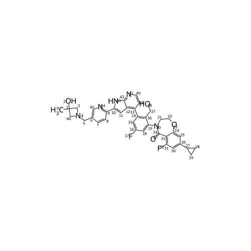 CC1(O)CN(Cc2ccc(-c3cc4c(-c5cc(F)cc(N6CCOc7cc(C8CC8)cc(F)c7C6=O)c5CO)ccnc4[nH]3)nc2)C1